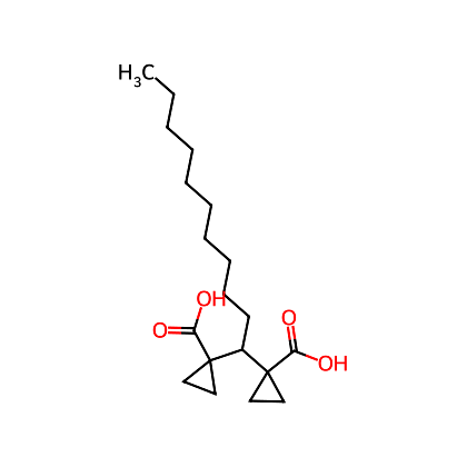 CCCCCCCCCCC(C1(C(=O)O)CC1)C1(C(=O)O)CC1